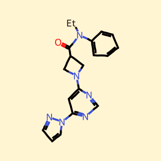 CCN(C(=O)C1CN(c2cc(-n3cccn3)ncn2)C1)c1ccccc1